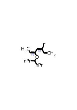 C=C/C(F)=C\C(=C/C)OC(CCC)CCC